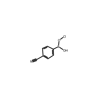 N#Cc1ccc(B(O)OCl)cc1